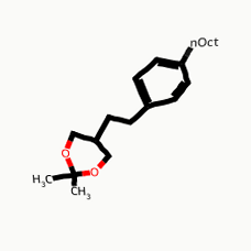 CCCCCCCCc1ccc(CC[C]2COC(C)(C)OC2)cc1